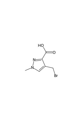 Cn1cc(CBr)c(C(=O)O)n1